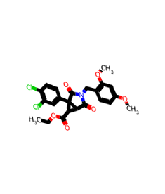 CCOC(=O)C1C2C(=O)N(Cc3ccc(OC)cc3OC)C(=O)C12c1ccc(Cl)c(Cl)c1